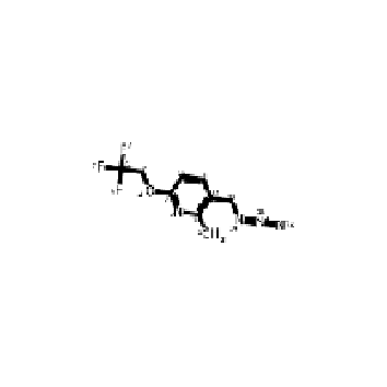 Cc1nc(OCC(F)(F)F)ccc1CN=[N+]=[N-]